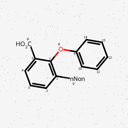 CCCCCCCCCc1cccc(C(=O)O)c1Oc1ccccc1